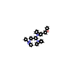 c1ccc(-c2nc3ccccc3n2-c2cccc(-c3cc(-n4c5ccccc5c5ccccc54)cc(-n4c5ccccc5c5cc(-c6ccc7oc8ccccc8c7c6)ccc54)c3)c2)cc1